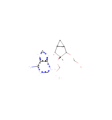 COCOC1[C@]2(O)CC2[C@@H](n2cnc3c(N)ncnc32)[C@@]1(C)OCOC